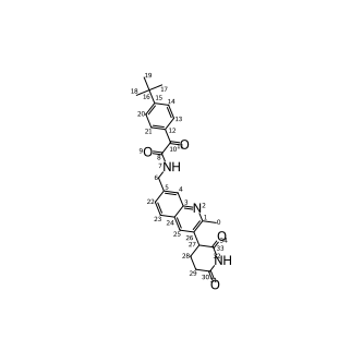 Cc1nc2cc(CNC(=O)C(=O)c3ccc(C(C)(C)C)cc3)ccc2cc1C1CCC(=O)NC1=O